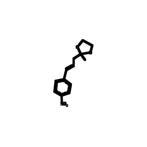 CC1(CC=Cc2ccc([N+](=O)[O-])cc2)OCCO1